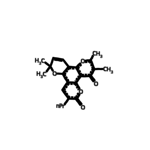 CCCc1cc2c3c(c4oc(C)c(C)c(=O)c4c2oc1=O)C=CC(C)(C)O3